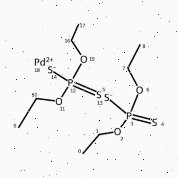 CCOP(=S)([S-])OCC.CCOP(=S)([S-])OCC.[Pd+2]